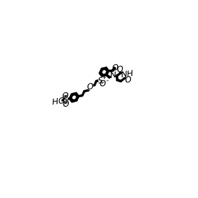 O=C1CCC(N2Cc3c(cccc3[S+]([O-])CCOCCCc3ccc(S(=O)(=O)O)cc3)C2=O)C(=O)N1